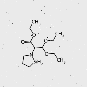 CCOC(=O)C(C(OCC)OCC)N1CCC[SiH2]1